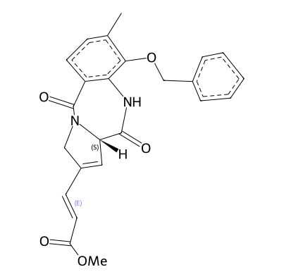 COC(=O)/C=C/C1=C[C@H]2C(=O)Nc3c(ccc(C)c3OCc3ccccc3)C(=O)N2C1